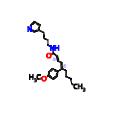 CCCCC/C(=C/C=C/C(=O)NCCCCc1cccnc1)c1ccc(OC)cc1